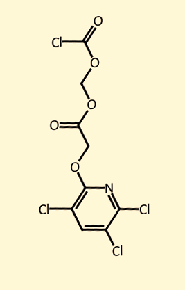 O=C(Cl)OCOC(=O)COc1nc(Cl)c(Cl)cc1Cl